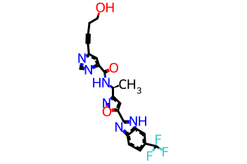 C[C@H](NC(=O)c1cc(C#CCCO)ncn1)c1cc(-c2nc3ccc(C(F)(F)F)cc3[nH]2)on1